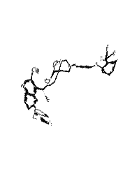 COc1ccc2ncc(Cl)c([C@@H](F)CCC3(C(=O)O)CCN(CCSc4ccccc4C(F)(F)F)CC3)c2c1